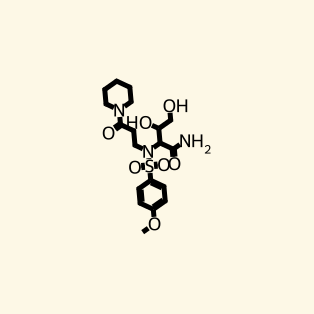 COc1ccc(S(=O)(=O)N(CCC(=O)N2CCCCC2)C(C(N)=O)C(O)CO)cc1